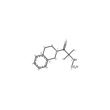 CC(C)(NC(=O)O)C(=O)N1CCc2ccccc2C1